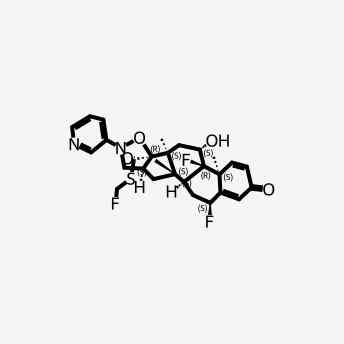 C[C@]12C[C@H](O)[C@@]3(F)[C@@H](C[C@H](F)C4=CC(=O)C=C[C@@]43C)[C@]1(C)C[C@H]1CN(c3cccnc3)O[C@]12C(=O)SCF